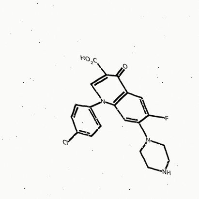 O=C(O)c1cn(-c2ccc(Cl)cc2)c2cc(N3CCNCC3)c(F)cc2c1=O